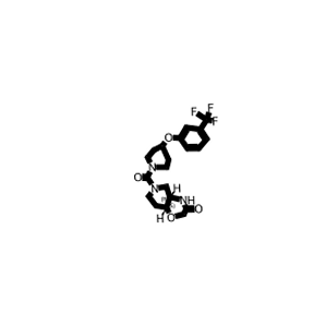 O=C1CO[C@H]2CCN(C(=O)N3CCC(Oc4cccc(C(F)(F)F)c4)CC3)C[C@H]2N1